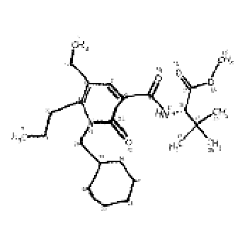 CCCc1c(CC)cc(C(=O)N[C@H](C(=O)OC)C(C)(C)C)c(=O)n1CC1CCCCC1